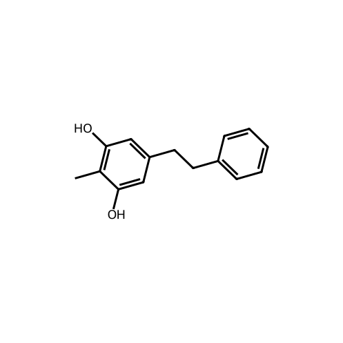 Cc1c(O)cc(CCc2ccccc2)cc1O